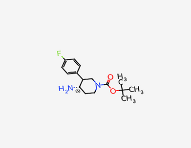 CC(C)(C)OC(=O)N1CC[C@H](N)C(c2ccc(F)cc2)C1